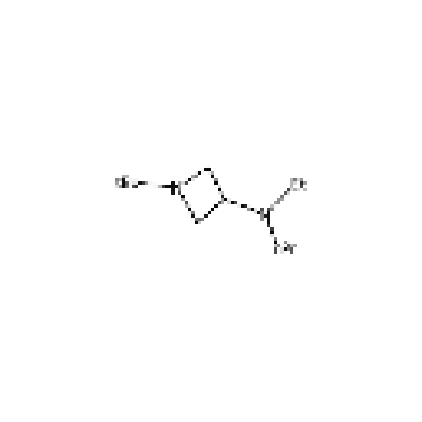 CCCN(CC)C1CN(C(C)(C)C)C1